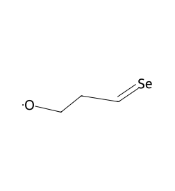 [O]CCC=[Se]